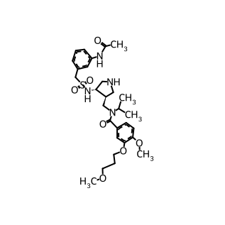 COCCCOc1cc(C(=O)N(C[C@@H]2CNC[C@H]2NS(=O)(=O)Cc2cccc(NC(C)=O)c2)C(C)C)ccc1OC